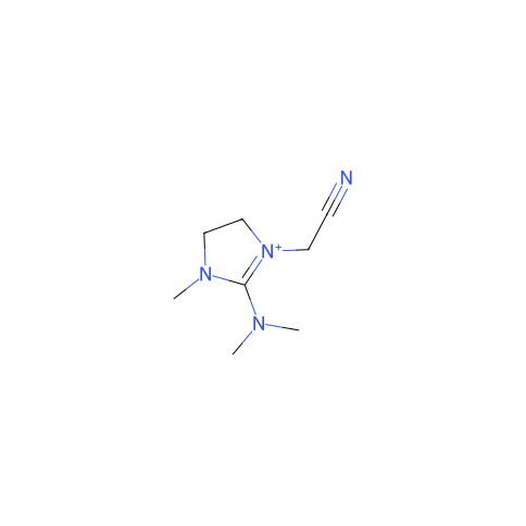 CN(C)C1=[N+](CC#N)CCN1C